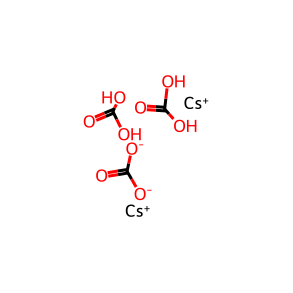 O=C(O)O.O=C(O)O.O=C([O-])[O-].[Cs+].[Cs+]